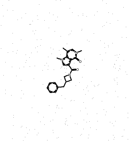 Cc1cn(C)c(=O)c2c(C(=O)N3CC(Cc4ccccc4)C3)cn(C)c12